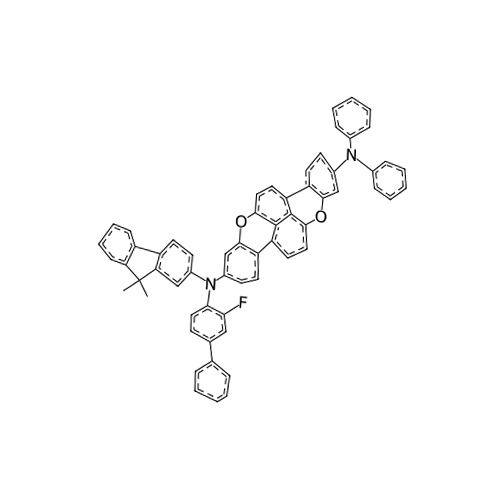 CC1(C)c2ccccc2-c2ccc(N(c3ccc4c(c3)Oc3ccc5c6c(ccc-4c36)Oc3cc(N(c4ccccc4)c4ccccc4)ccc3-5)c3ccc(-c4ccccc4)cc3F)cc21